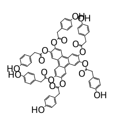 O=C(Cc1ccc(O)cc1)Oc1cc2c3cc(OC(=O)Cc4ccc(O)cc4)c(OC(=O)Cc4ccc(O)cc4)cc3c3cc(OC(=O)Cc4ccc(O)cc4)c(OC(=O)Cc4ccc(O)cc4)cc3c2cc1OC(=O)Cc1ccc(O)cc1